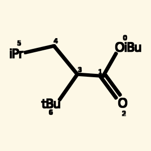 CC(C)COC(=O)C(CC(C)C)C(C)(C)C